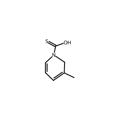 CC1=CC=CN(C(O)=S)C1